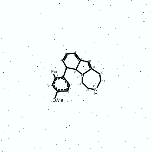 COc1ccc(C2C=CC=C3C=C4CCNCCN4C32)c(F)c1